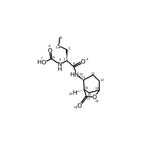 CSC[C@H](NC(=O)O)C(=O)N[C@H]1CCC2C[C@H]1C(=O)O2